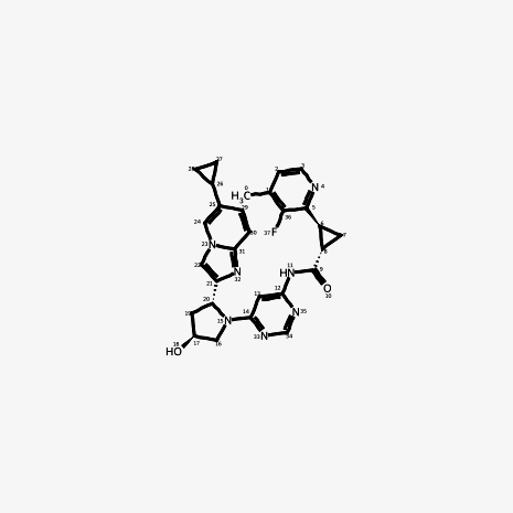 Cc1ccnc([C@H]2C[C@@H]2C(=O)Nc2cc(N3C[C@@H](O)C[C@@H]3c3cn4cc(C5CC5)ccc4n3)ncn2)c1F